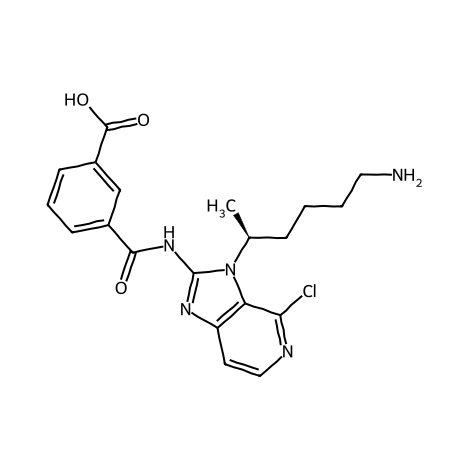 C[C@@H](CCCCN)n1c(NC(=O)c2cccc(C(=O)O)c2)nc2ccnc(Cl)c21